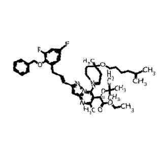 CCOC(=O)[C@@H](OC(C)(C)C)c1c(C)nc2cc(C=CCc3cc(F)cc(F)c3OCc3ccccc3)nn2c1N1CCC(C)(OCCCCC(C)C)CC1